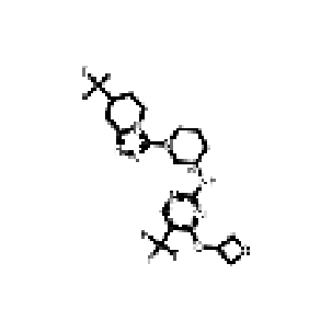 FC(F)(F)c1cnc(N[C@@H]2CCCN(c3nnc4n3CCC(C(F)(F)F)C4)C2)nc1OC1COC1